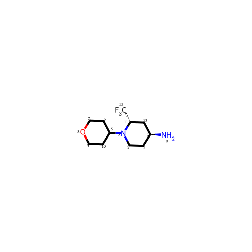 N[C@H]1CCN(C2CCOCC2)[C@H](C(F)(F)F)C1